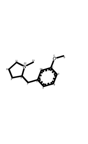 COc1cccc(CC2CCCN2C)c1